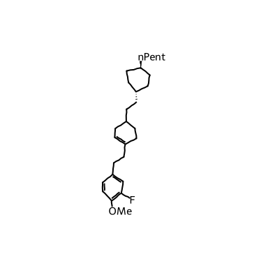 CCCCC[C@H]1CC[C@H](CCC2CC=C(CCc3ccc(OC)c(F)c3)CC2)CC1